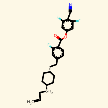 C=CC[SiH2][C@H]1CC[C@H](CCc2ccc(C(=O)Oc3cc(F)c(C#N)c(F)c3)c(F)c2)CC1